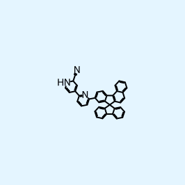 N#CC1C=C(c2cccc(-c3ccc4c(c3)C3(c5ccccc5-c5ccccc53)c3ccc5ccccc5c3-4)n2)C=CN1